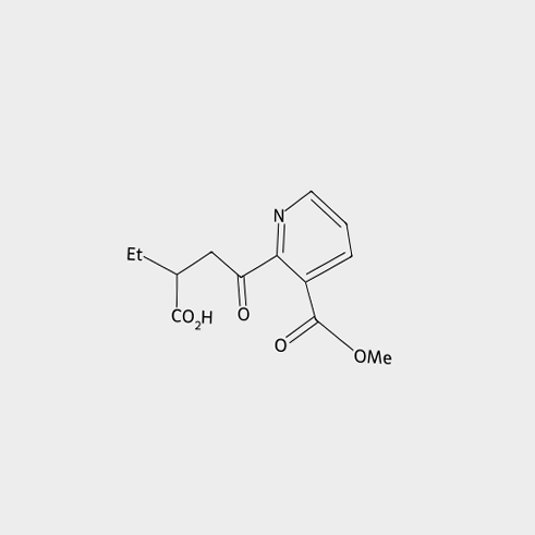 CCC(CC(=O)c1ncccc1C(=O)OC)C(=O)O